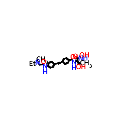 CCN(C)CC(=O)Nc1ccc(C#Cc2ccc(C(=O)N[C@H](C(=O)NO)[C@@H](C)O)cc2)cc1